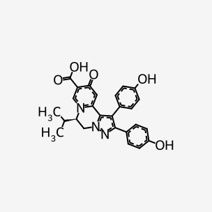 CC(C)[C@@H]1Cn2nc(-c3ccc(O)cc3)c(-c3ccc(O)cc3)c2-c2cc(=O)c(C(=O)O)cn21